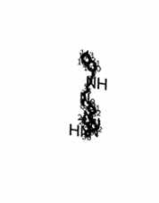 CCN(CCCNCCc1ccc2ccccc2c1)CC1CCC(n2ccc3c(NC)ncnc32)C1